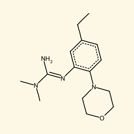 CCc1ccc(N2CCOCC2)c(/N=C(\N)N(C)C)c1